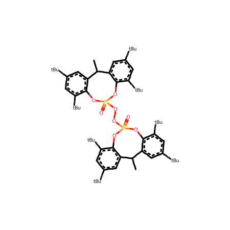 CC1c2cc(C(C)(C)C)cc(C(C)(C)C)c2OP(=O)(OOP2(=O)Oc3c(cc(C(C)(C)C)cc3C(C)(C)C)C(C)c3cc(C(C)(C)C)cc(C(C)(C)C)c3O2)Oc2c1cc(C(C)(C)C)cc2C(C)(C)C